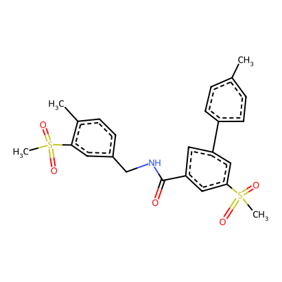 Cc1ccc(-c2cc(C(=O)NCc3ccc(C)c(S(C)(=O)=O)c3)cc(S(C)(=O)=O)c2)cc1